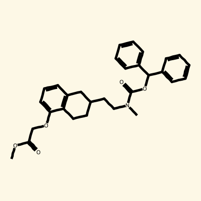 COC(=O)COc1cccc2c1CCC(CCN(C)C(=O)OC(c1ccccc1)c1ccccc1)C2